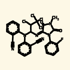 CN1C(=O)C(=NC(C(Cl)C(Cl)(Cl)Cl)N(c2ccccc2C#N)c2ccccc2C#N)N(c2ccccc2F)C1=O